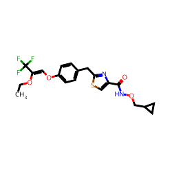 CCO/C(=C\Oc1ccc(Cc2nc(C(=O)NOCC3CC3)cs2)cc1)C(F)(F)F